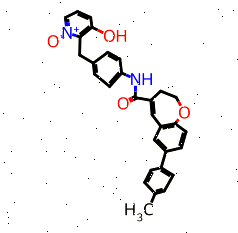 Cc1ccc(-c2ccc3c(c2)C=C(C(=O)Nc2ccc(Cc4c(O)ccc[n+]4[O-])cc2)CCO3)cc1